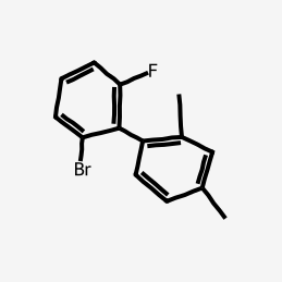 Cc1ccc(-c2c(F)cccc2Br)c(C)c1